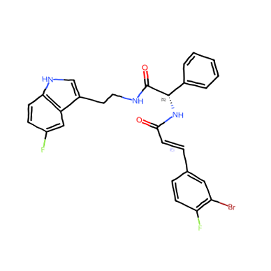 O=C(/C=C/c1ccc(F)c(Br)c1)N[C@H](C(=O)NCCc1c[nH]c2ccc(F)cc12)c1ccccc1